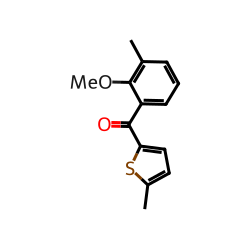 COc1c(C)cccc1C(=O)c1ccc(C)s1